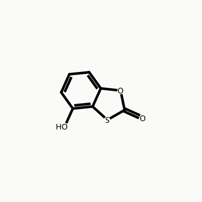 O=c1oc2cccc(O)c2s1